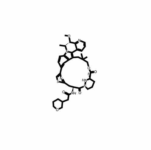 CCn1c(-c2cccnc2[C@H](C)OC)c2c3cc(ccc31)-c1csc(n1)C[C@H](NC(=O)CC1CCCOC1)C(=O)N1CCC[C@H](N1)C(=O)OCC(C)(C)C2